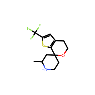 CC1CC2(CCN1)OCCc1cc(C(F)(F)F)sc12